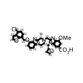 COc1cc(C(=O)O)cc2c1nc(CN1CCn3c(nc4c(OCc5ccc(Cl)c6ccoc56)cccc43)[C@@H]1C)n2C[C@@H]1CCO1